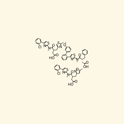 COc1cccc(-c2ccccc2-c2csc(N(C)C(=O)[C@@H](CC(=O)O)Cc3ccccc3)n2)c1.Cc1cc(CC(CC(=O)O)C(=O)N(C)c2nc(-c3ccccc3Cl)cs2)no1.Cc1nc(CC(CC(=O)O)C(=O)N(C)c2nc(-c3ccccc3Cl)cs2)cs1